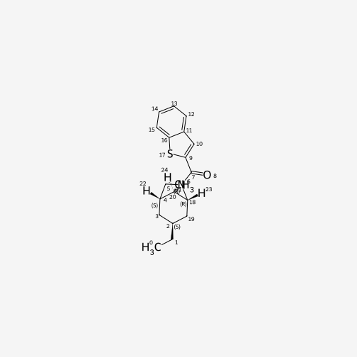 CC[C@H]1C[C@@H]2CN(C(=O)c3cc4ccccc4s3)[C@H](C1)[C@@H]2C